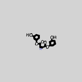 O=C(/C=C\C(=O)Oc1cccc(O)c1)Oc1cccc(O)c1